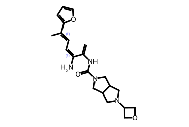 C=C(NC(=O)N1CC2CN(C3COC3)CC2C1)/C(N)=C\C=C(/C)c1ccco1